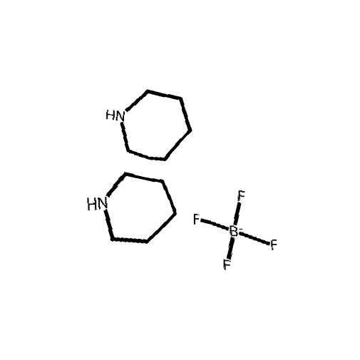 C1CCNCC1.C1CCNCC1.F[B-](F)(F)F